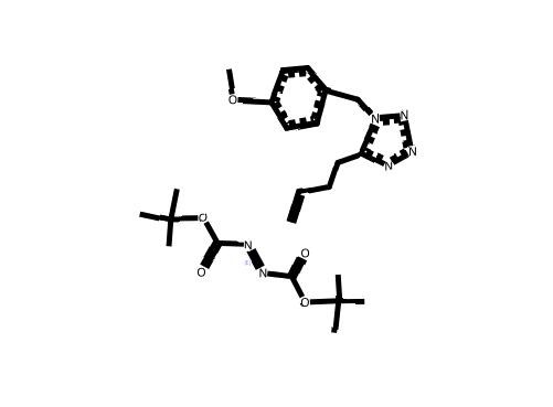 C=CCCc1nnnn1Cc1ccc(OC)cc1.CC(C)(C)OC(=O)/N=N/C(=O)OC(C)(C)C